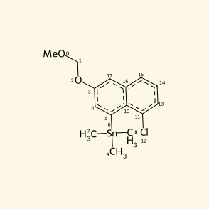 COCOc1c[c]([Sn]([CH3])([CH3])[CH3])c2c(Cl)cccc2c1